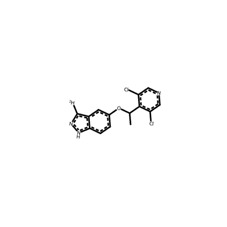 [2H]c1n[nH]c2ccc(OC(C)c3c(Cl)cncc3Cl)cc12